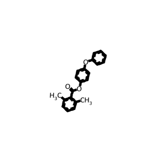 Cc1cccc(C)c1C(=O)Oc1ccc(Oc2ccccc2)cc1